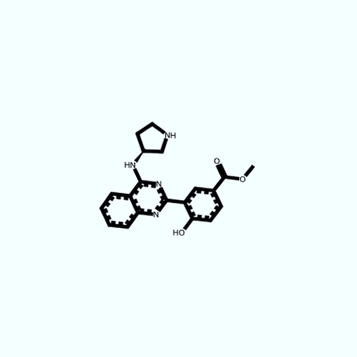 COC(=O)c1ccc(O)c(-c2nc(N[C@H]3CCNC3)c3ccccc3n2)c1